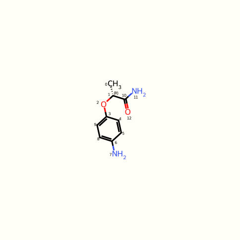 C[C@@H](Oc1ccc(N)cc1)C(N)=O